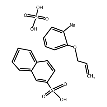 C=CCOc1cccc[c]1[Na].O=S(=O)(O)O.O=S(=O)(O)c1ccc2ccccc2c1